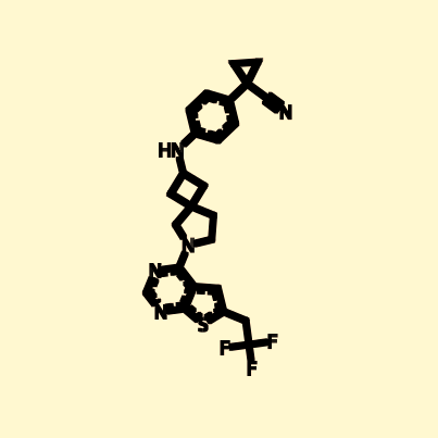 N#CC1(c2ccc(NC3CC4(CCN(c5ncnc6sc(CC(F)(F)F)cc56)C4)C3)cc2)CC1